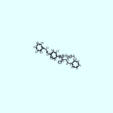 N[C@@H](Cc1ccccc1)C(=O)Nc1ccc(SCc2ccccc2)nc1